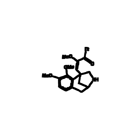 CCC(=O)/C(=C\C12CNC(Cc3ccc(OC)c(OC)c31)C2)OC